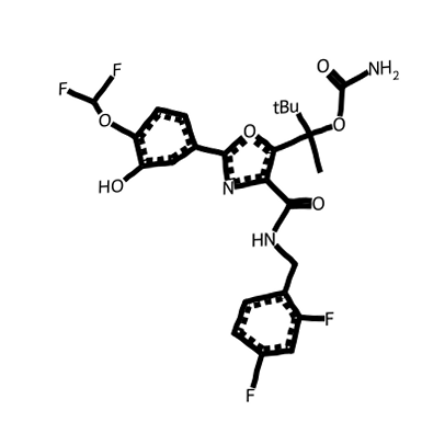 CC(C)(C)C(C)(OC(N)=O)c1oc(-c2ccc(OC(F)F)c(O)c2)nc1C(=O)NCc1ccc(F)cc1F